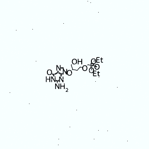 CCOP(=O)(COCCC(CO)On1cnc2c(=O)[nH]c(N)nc21)OCC